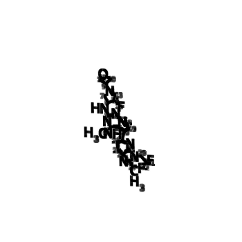 CNc1nc(N[C@H]2CN(C3COC3)C[C@H]2F)nn2ccc(-c3ccc4nc(C)n(CC(F)F)c4n3)c12